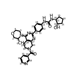 CC1COCCN1c1nc(-c2ccc(NC(=O)N[C@H]3CCC[C@@H]3O)cc2)nc2c1CCN(C(=O)c1cccnc1)C2